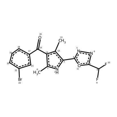 Cc1[nH]c(-c2nnc(C(F)F)o2)c(C)c1C(=O)c1cccc(Br)c1